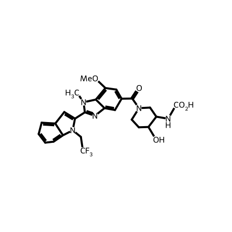 COc1cc(C(=O)N2CCC(O)C(NC(=O)O)C2)cc2nc(-c3cc4ccccc4n3CC(F)(F)F)n(C)c12